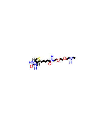 CCNCCOCCOCCNC(=O)CCCC[C@@H]1SC[C@@H]2NC(=O)N[C@@H]21